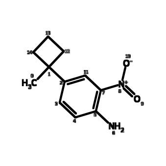 CC1(c2ccc(N)c([N+](=O)[O-])c2)CCC1